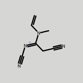 C=CN(C)/C(CC#N)=N/C#N